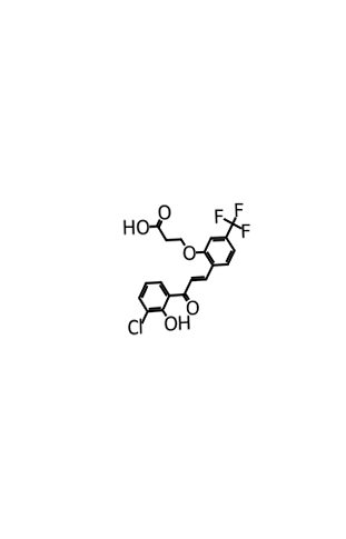 O=C(O)CCOc1cc(C(F)(F)F)ccc1/C=C/C(=O)c1cccc(Cl)c1O